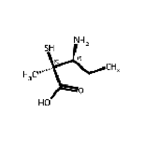 CC[C@H](N)[C@](C)(S)C(=O)O